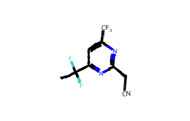 CC(F)(F)c1cc(C(F)(F)F)nc(CC#N)n1